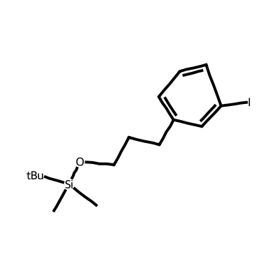 CC(C)(C)[Si](C)(C)OCCCc1cccc(I)c1